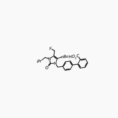 CCCCc1c(CF)n(CC(C)C)c(=O)n1Cc1ccc(-c2ccccc2C(=O)O)cc1